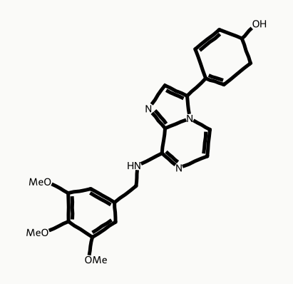 COc1cc(CNc2nccn3c(C4=CCC(O)C=C4)cnc23)cc(OC)c1OC